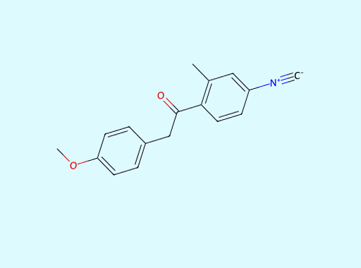 [C-]#[N+]c1ccc(C(=O)Cc2ccc(OC)cc2)c(C)c1